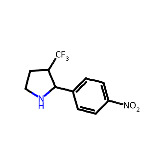 O=[N+]([O-])c1ccc(C2NCCC2C(F)(F)F)cc1